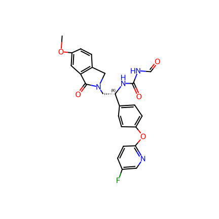 COc1ccc2c(c1)C(=O)N(C[C@H](NC(=O)NC=O)c1ccc(Oc3ccc(F)cn3)cc1)C2